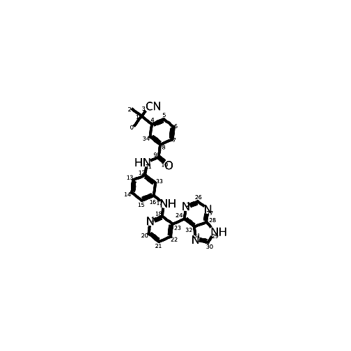 CC(C)(C#N)c1cccc(C(=O)Nc2cccc(Nc3ncccc3-c3ncnc4[nH]cnc34)c2)c1